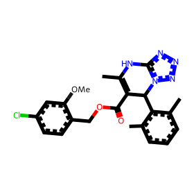 COc1cc(Cl)ccc1COC(=O)C1=C(C)Nc2nnnn2C1c1c(C)cccc1C